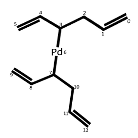 C=CC[CH](C=C)[Pd][CH](C=C)CC=C